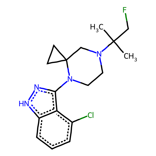 CC(C)(CF)N1CCN(c2n[nH]c3cccc(Cl)c23)C2(CC2)C1